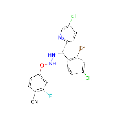 N#Cc1ccc(ONNC(c2ccc(Cl)cn2)c2ccc(Cl)cc2Br)cc1F